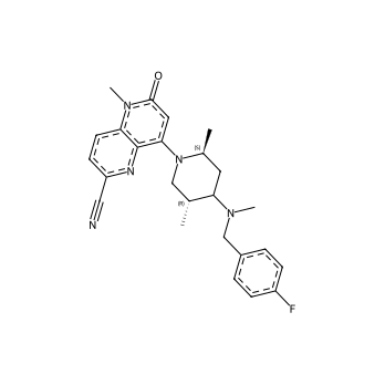 C[C@@H]1CN(c2cc(=O)n(C)c3ccc(C#N)nc23)[C@@H](C)CC1N(C)Cc1ccc(F)cc1